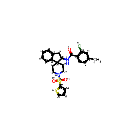 Cc1ccc(C(=O)NC2Cc3ccccc3C23CCN(S(=O)(=O)c2cccs2)CC3)c(Cl)c1